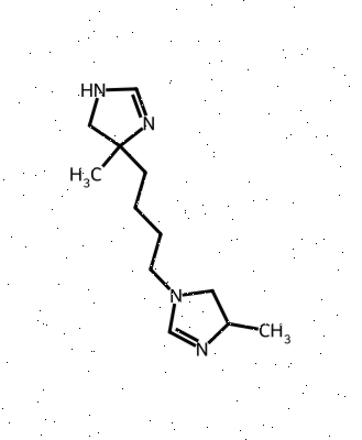 CC1CN(CCCCC2(C)CNC=N2)C=N1